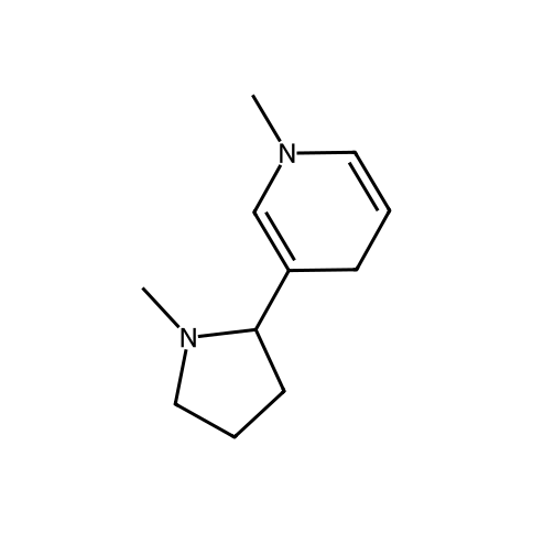 CN1C=CCC(C2CCCN2C)=C1